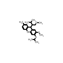 COCC(C(C)C)C(c1ccc(OC(C)C)c(OC)c1)c1cc(C)ccc1O